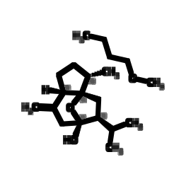 C=C1C[C@]2(O)O[C@@]3(C[C@H]2C(C)C)[C@@H](C)CC[C@@H]13.CCCCOC